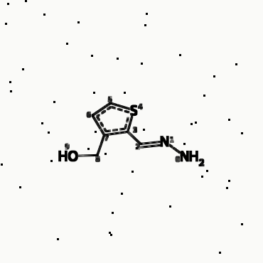 NN=Cc1sccc1CO